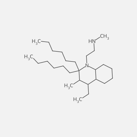 CCCCCCC1(CCCCCC)C(C)C(CC)C2CCCCC2N1CCNC